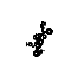 CCOCSC(C(=O)N[C@H]1C(=O)N2C(C(=O)O)=C(CSc3cccc[n+]3[O-])CSC12)c1ccccc1